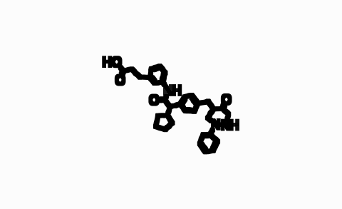 O=C(O)CCc1cccc(NC(=O)C(c2ccc(CC3CN(c4ccccc4)NCC3=O)cc2)C2CCCC2)c1